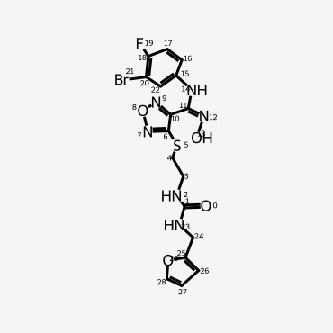 O=C(NCCSc1nonc1/C(=N\O)Nc1ccc(F)c(Br)c1)NCc1ccco1